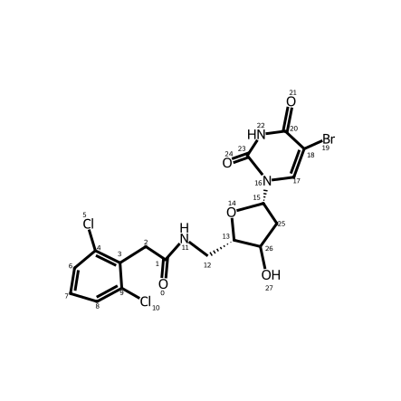 O=C(Cc1c(Cl)cccc1Cl)NC[C@@H]1O[C@H](n2cc(Br)c(=O)[nH]c2=O)CC1O